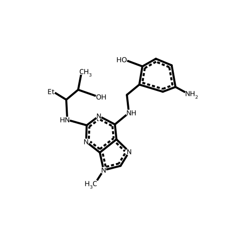 CCC(Nc1nc(NCc2cc(N)ccc2O)c2ncn(C)c2n1)C(C)O